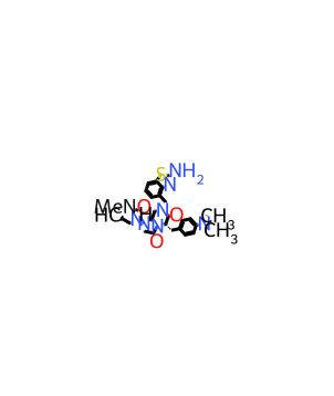 C#CCN(C(=O)NC)N1CC(=O)N2[C@@H](Cc3ccc(N(C)C)cc3)C(=O)N(Cc3cccc4sc(N)nc34)C[C@@H]21